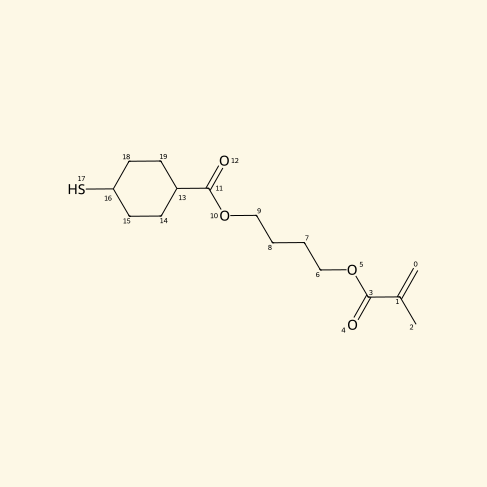 C=C(C)C(=O)OCCCCOC(=O)C1CCC(S)CC1